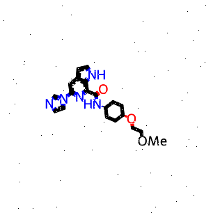 COCCO[C@H]1CC[C@H](NC(=O)c2nc(-n3ccnc3)cc3cc[nH]c23)CC1